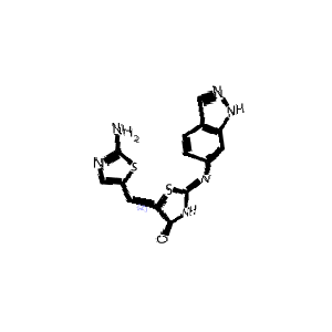 Nc1ncc(/C=C2\SC(=Nc3ccc4cn[nH]c4c3)NC2=O)s1